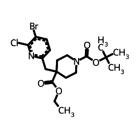 CCOC(=O)C1(Cc2ccc(Br)c(Cl)n2)CCN(C(=O)OC(C)(C)C)CC1